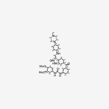 COc1ccc(NC(=O)Nc2cccc(C(=O)c3ccc4c(c3)NC(=O)C4=CNc3ccc(N4CCN(C)CC4)cc3)c2)cc1OC